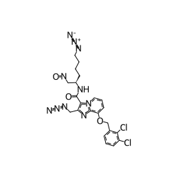 [N-]=[N+]=NCCCC[C@H](CN=O)NC(=O)c1c(CN=[N+]=[N-])nc2c(OCc3cccc(Cl)c3Cl)cccn12